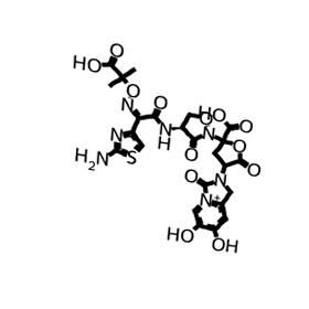 CC(C)(O/N=C(\C(=O)N[C@H]1CON(C2(C(=O)O)CC(N3Cc4cc(O)c(O)c[n+]4C3=O)C(=O)O2)C1=O)c1csc(N)n1)C(=O)O